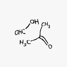 CC(C)=O.O=CO